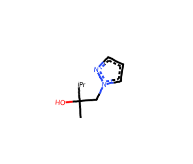 CC(C)C(C)(O)Cn1cccn1